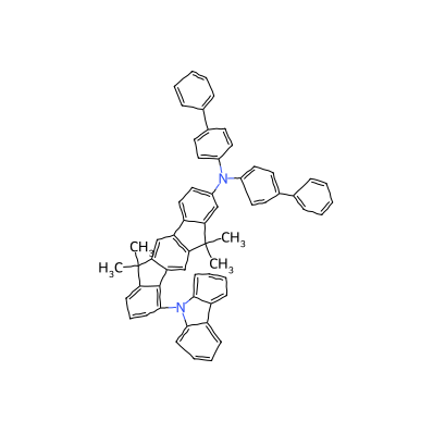 CC1(C)c2cc(N(c3ccc(-c4ccccc4)cc3)c3ccc(-c4ccccc4)cc3)ccc2-c2cc3c(cc21)-c1c(-n2c4ccccc4c4ccccc42)cccc1C3(C)C